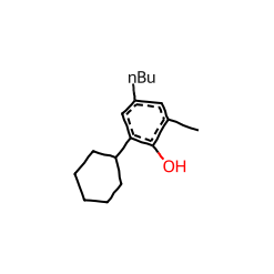 CCCCc1cc(C)c(O)c(C2CCCCC2)c1